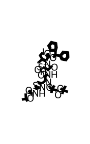 CC(C)(C)OC(=O)Nc1nc(C(=NOC(C)(C)C(=O)OC(C)(C)C)C(=O)N[C@@H]2C(=O)N3C(C(=O)OC(c4ccccc4)c4ccccc4)=C(CI)C[S+]([O-])[C@H]23)cs1